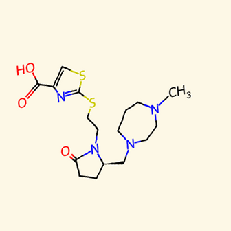 CN1CCCN(C[C@H]2CCC(=O)N2CCSc2nc(C(=O)O)cs2)CC1